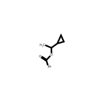 CC(C)C(=O)OC(C)C1CC1